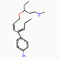 CC/C=C(\C=C/COC(CC)CCNC)c1ccc(N)cc1